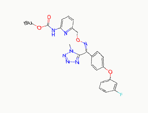 Cn1nnnc1/C(=N\OCc1cccc(NC(=O)OC(C)(C)C)n1)c1ccc(Oc2cccc(F)c2)cc1